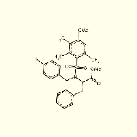 COC(=O)C(Cc1ccccc1)N(Cc1ccc(I)cc1)S(=O)(=O)c1c(C)cc(OC)c(C)c1C